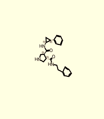 O=C(NCCc1ccccc1)[C@@H]1CNC[C@H]1C(=O)N[C@H]1C[C@@H]1c1ccccc1